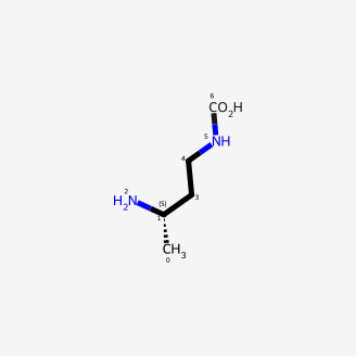 C[C@H](N)CCNC(=O)O